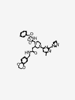 Cc1cc(N2CCN(C(=O)NS(=O)(=O)c3ccccc3)C(CC(=O)NCc3ccc4c(c3)OCCO4)C2)nc(-n2ccnc2)n1